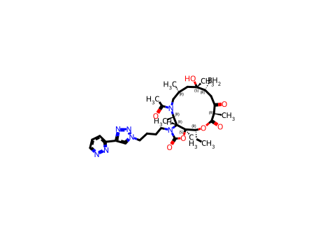 B[C@@H]1CC(=O)[C@@H](C)C(=O)O[C@H](CC)[C@@]2(C)OC(=O)N(CCCCn3cc(-c4cccnn4)nn3)[C@@H]2[C@@H](C)N(C(C)=O)C[C@H](C)C[C@]1(C)O